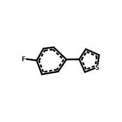 Fc1ccc(-c2ccsc2)cc1